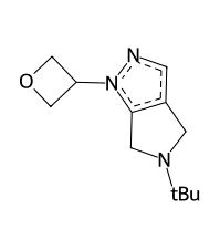 CC(C)(C)N1Cc2cnn(C3COC3)c2C1